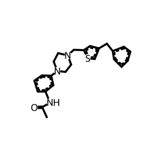 CC(=O)Nc1cccc(N2CCN(Cc3cc(Cc4ccccc4)cs3)CC2)c1